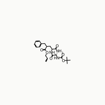 C=CCOC(=O)C(Cc1ccccc1)CC(NC(=O)[C@H](C)NC(=O)OC(C)(C)C)C(N)=O